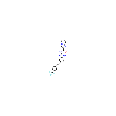 Cc1cccc2nc(C(=O)Nc3nc4cc(CCc5ccc(C(F)(F)F)cc5)ccc4[nH]3)cn12